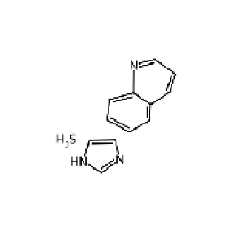 S.c1c[nH]cn1.c1ccc2ncccc2c1